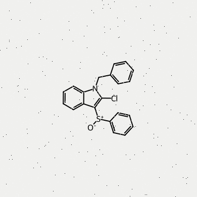 [O-][S+](c1ccccc1)c1c(Cl)n(Cc2ccccc2)c2ccccc12